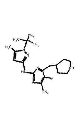 Cc1cc(Nc2cc(C)n(C(C)(C)C)n2)nc(CC2CCNCC2)c1F